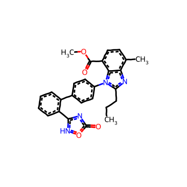 CCCc1nc2c(C)ccc(C(=O)OC)c2n1-c1ccc(-c2ccccc2-c2nc(=O)o[nH]2)cc1